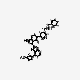 CC(=O)c1ccc(-c2ccnc3[nH]c(-c4n[nH]c5ccc(-c6cncc(CNCc7ccccc7)c6)c(F)c45)nc23)s1